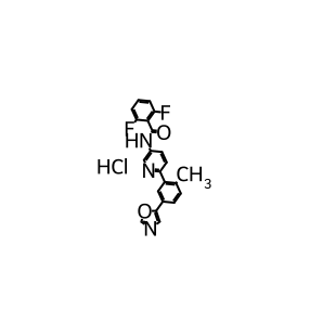 Cc1ccc(-c2cnco2)cc1-c1ccc(NC(=O)c2c(F)cccc2F)cn1.Cl